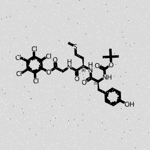 CSCC[C@@H](NC(=O)[C@H](Cc1ccc(O)cc1)NC(=O)OC(C)(C)C)C(=O)NCC(=O)Oc1c(Cl)c(Cl)c(Cl)c(Cl)c1Cl